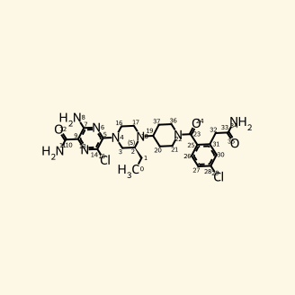 CC[C@H]1CN(c2nc(N)c(C(N)=O)nc2Cl)CCN1C1CCN(C(=O)c2ccc(Cl)cc2CC(N)=O)CC1